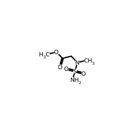 COC(=O)CN(C)S(N)(=O)=O